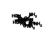 CC(C)C[C@H](NC(=O)[C@H](Cc1ccc(O)cc1)NC(=O)[C@@H]1CNC(=O)C[C@H](N)C(=O)N[C@@H](CCCCN)C(=O)N[C@@H](CCCCN)C(=O)N1)C(=O)O